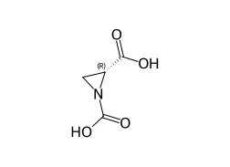 O=C(O)[C@H]1CN1C(=O)O